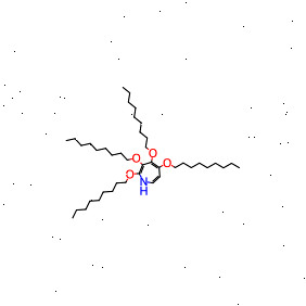 CCCCCCCCCOC1=C(OCCCCCCCCC)C(OCCCCCCCCC)=C(OCCCCCCCCC)NC=C1